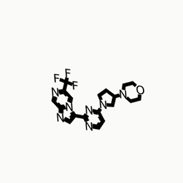 FC(F)(F)c1cn2c(-c3nccc(N4CCC(N5CCOCC5)C4)n3)cnc2cn1